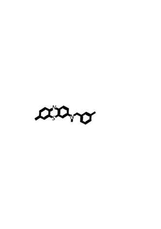 C=c1ccc2c(c1)Sc1cc(N(C)Cc3cccc(C)c3)ccc1N=2